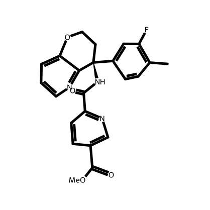 COC(=O)c1ccc(C(=O)N[C@]2(c3ccc(C)c(F)c3)CCOc3cccnc32)nc1